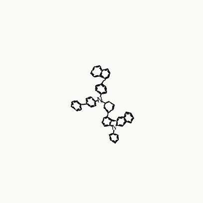 C1=CC(c2cccc3c2c2cc4ccccc4cc2n3-c2ccccc2)=CC(N(c2ccc(-c3ccccc3)cc2)c2ccc(-c3cccc4ccccc34)cc2)C1